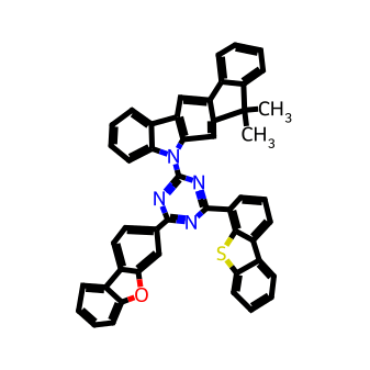 CC1(C)c2ccccc2-c2cc3c4ccccc4n(-c4nc(-c5ccc6c(c5)oc5ccccc56)nc(-c5cccc6c5sc5ccccc56)n4)c3cc21